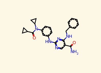 NC(=O)c1cnc(Nc2cccc(N(C(=O)C3CC3)C3CC3)c2)nc1NCc1ccccc1